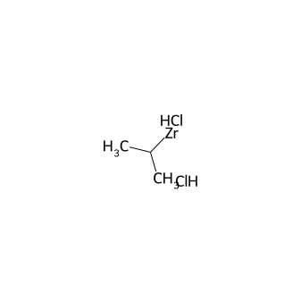 C[CH](C)[Zr].Cl.Cl